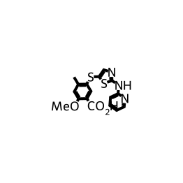 COc1cc(C)c(Sc2cnc(Nc3ccccn3)s2)cc1C(=O)O